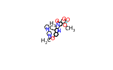 C=C(Oc1ccc2nc3c(c(CC)c2c1)Cn1c-3cc2c(c1=O)COC(=O)[C@@]2(F)OCC)N1CCC(N2CCCCC2)CC1